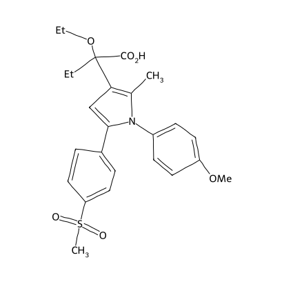 CCOC(CC)(C(=O)O)c1cc(-c2ccc(S(C)(=O)=O)cc2)n(-c2ccc(OC)cc2)c1C